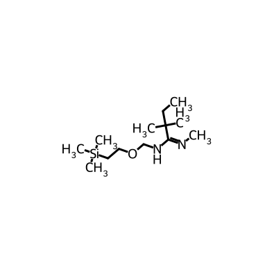 CCC(C)(C)/C(=N\C)NCOCC[Si](C)(C)C